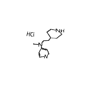 CN(CCC1CCNCC1)c1ccncc1.Cl